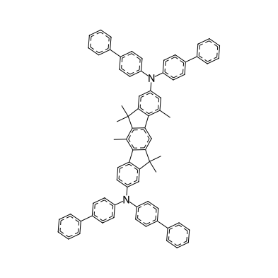 Cc1cc(N(c2ccc(-c3ccccc3)cc2)c2ccc(-c3ccccc3)cc2)cc2c1-c1cc3c(c(C)c1C2(C)C)-c1ccc(N(c2ccc(-c4ccccc4)cc2)c2ccc(-c4ccccc4)cc2)cc1C3(C)C